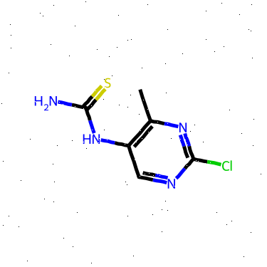 Cc1nc(Cl)ncc1NC(N)=S